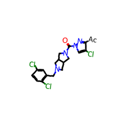 CC(=O)c1nn(C(=O)N2CC3CN(Cc4cc(Cl)ccc4Cl)CC3C2)cc1Cl